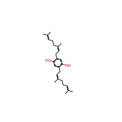 CC(C)=CCCC(C)=CCc1cc(O)c(CC=C(C)CCC=C(C)C)cc1O